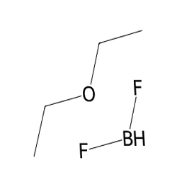 CCOCC.FBF